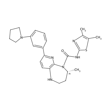 Cc1nc(NC(=O)N2c3nc(-c4cccc(N5CCCC5)c4)ccc3NCC[C@H]2C)sc1C